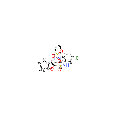 CC(C)CS(=O)(=O)Nc1ccc(Cl)cc1NS(=O)(=O)c1cc2ccccc2o1